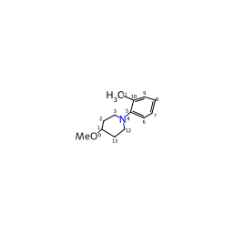 COC1CCN(c2ccccc2C)CC1